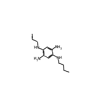 CCCCNc1cc(N)c(NCCC)cc1N